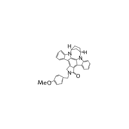 COc1ccc(CN2Cc3c(c4c5ccccc5n5c4c4c3c3ccccc3n4[C@H]3CC[C@H]5C3)C2=O)cc1